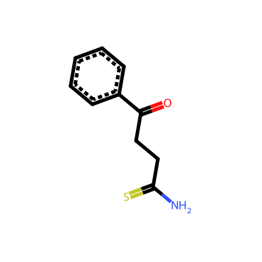 NC(=S)CCC(=O)c1ccccc1